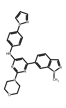 Cn1ncc2ccc(-c3cc(Nc4ccc(-n5cccn5)cc4)nc(N4CCOCC4)n3)cc21